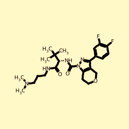 CN(C)CCCNC(=O)[C@@H](NC(=O)n1nc(-c2ccc(F)c(F)c2)c2c1CCOC2)C(C)(C)C